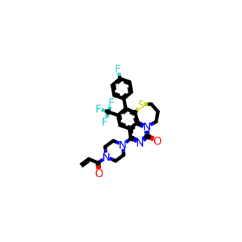 C=CC(=O)N1CCN(c2nc(=O)n3c4c(c(-c5ccc(F)cc5)c(C(F)(F)F)cc24)SCCC3)CC1